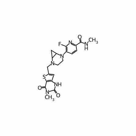 CNC(=O)c1ccc(N2CCN(Cc3cc4[nH]c(=O)n(C)c(=O)c4s3)C3CC32)c(F)n1